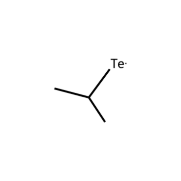 CC(C)[Te]